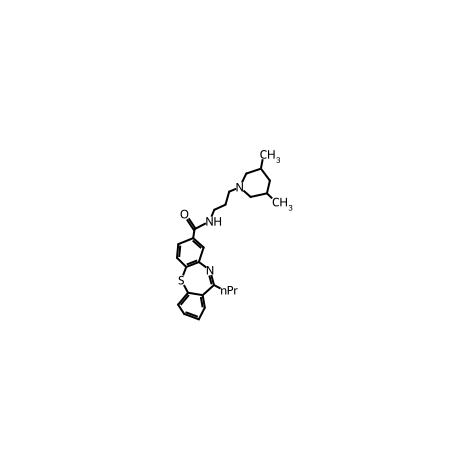 CCCC1=Nc2cc(C(=O)NCCCN3CC(C)CC(C)C3)ccc2Sc2ccccc21